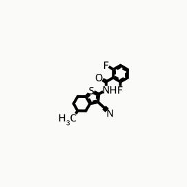 CC1CCc2sc(NC(=O)c3c(F)cccc3F)c(C#N)c2C1